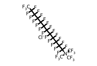 FC(F)(F)C(F)(F)C(F)(F)C(F)(F)C(F)(F)C(F)(F)C(F)(F)C(F)(F)C(F)(F)C(F)(F)C(F)(F)C(F)(F)[N+](C(F)(F)F)(C(F)(F)F)C(F)(F)F.[Cl-]